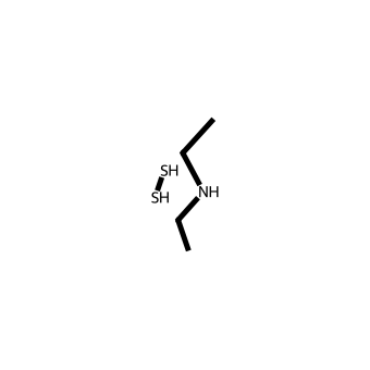 CCNCC.SS